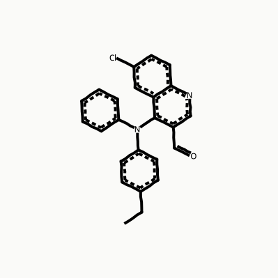 CCc1ccc(N(c2ccccc2)c2c(C=O)cnc3ccc(Cl)cc23)cc1